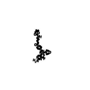 CC(C)(C)OC(=O)NCCCCC(=O)N1CCN(c2nc(-c3cnc(N)nc3C(F)F)nc(N3CCOCC3)n2)CC1